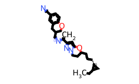 C=C(/N=C\C1COc2ccc(C#N)cc2C1)c1cc2n(n1)CCC(CCC[C@@H]1CC1CC)O2